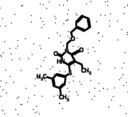 CCc1c(Sc2cc(C)cc(C)c2)[nH]c(=O)n(COCc2ccccc2)c1=O